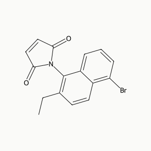 CCc1ccc2c(Br)cccc2c1N1C(=O)C=CC1=O